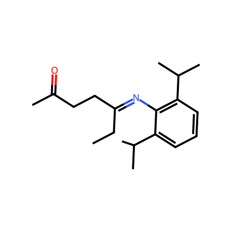 CCC(CCC(C)=O)=Nc1c(C(C)C)cccc1C(C)C